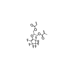 C=CC(=O)OCC(COC(=O)C(=C)C)OC1=C(F)C(F)(F)C(F)(F)C1(F)F